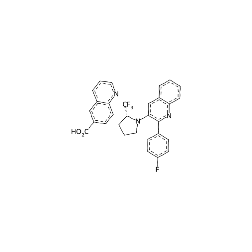 Fc1ccc(-c2nc3ccccc3cc2N2CCC[C@@H]2C(F)(F)F)cc1.O=C(O)c1ccc2ncccc2c1